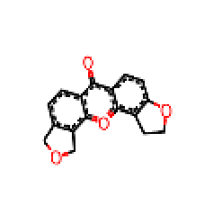 O=c1c2ccc3c(c2oc2c4c(ccc12)OCC4)COC3